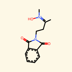 CC(CCN1C(=O)c2ccccc2C1=O)=[N+](C)O